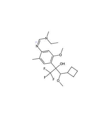 CCN(C)/C=N\c1cc(OC)c(C(O)(C(OC)C2CCC2)C(F)(F)F)cc1C